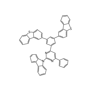 c1ccc(-c2cc(-c3cc(-c4ccc5sc6ccccc6c5c4)cc(-c4ccc5sc6ccccc6c5c4)c3)nc(-n3c4ccccc4c4ccccc43)n2)cc1